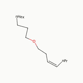 CCC/C=C\CCOCCCCCCCCC